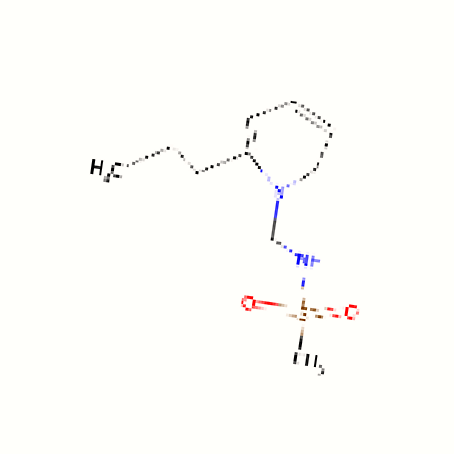 CCCC1=CC=CCN1CNS(C)(=O)=O